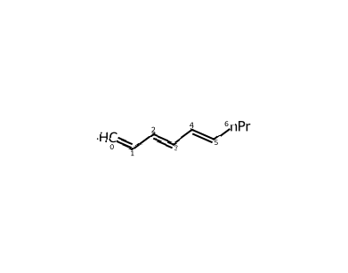 [CH]=C/C=C/C=C/CC[CH2]